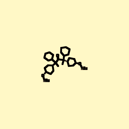 CCCCO[C@H]1CC[C@H](C(C)(C(=O)C(C)(C2CCCCC2)[C@H]2CC[C@H](OCCCC)CC2)C2CCCCC2)CC1